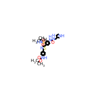 CC(C)OC(=O)Nc1ccc(-c2ncc(-c3ccc(NC(=O)NCC4CCNC4)cc3S(=O)(=O)NC(C)(C)C)s2)cc1